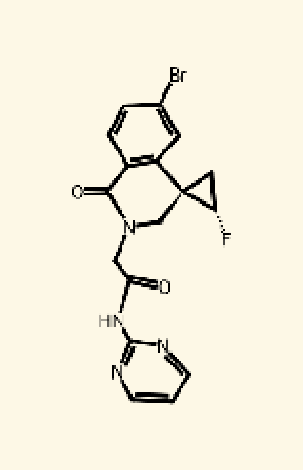 O=C(CN1C[C@]2(C[C@@H]2F)c2cc(Br)ccc2C1=O)Nc1ncccn1